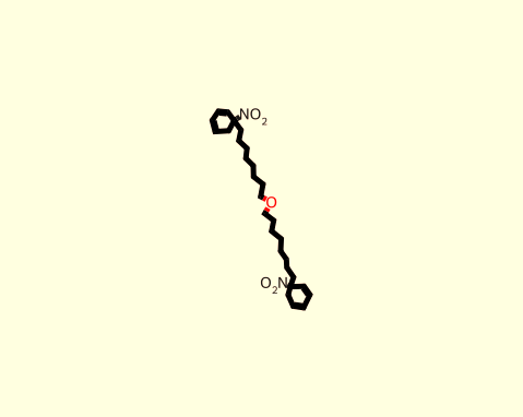 O=[N+]([O-])C1(CCCCCCCCOCCCCCCCCC2([N+](=O)[O-])C=CC=CC2)C=CC=CC1